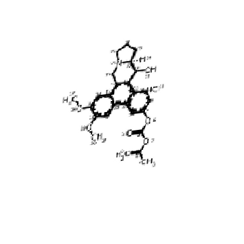 C=C(C)OC(=O)Oc1ccc2c3c(c4cc(OC)c(OC)cc4c2c1)CN1CCC[C@H]1[C@H]3O.Cl